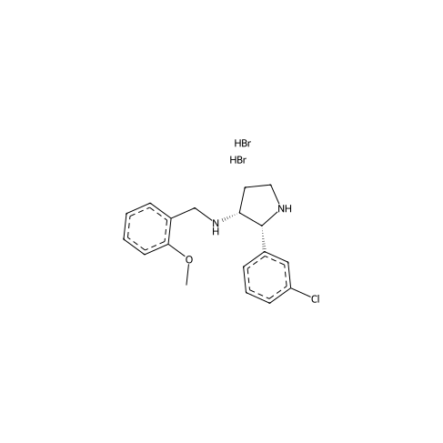 Br.Br.COc1ccccc1CN[C@@H]1CCN[C@@H]1c1cccc(Cl)c1